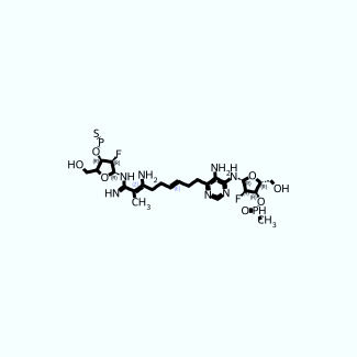 C/C(C(=N)N[C@@H]1OC(CO)[C@@H](OP=S)[C@H]1F)=C(/N)CC/C=C/CCc1ncnc(N[C@@H]2O[C@H](CO)[C@@H](O[PH](C)=O)[C@H]2F)c1N